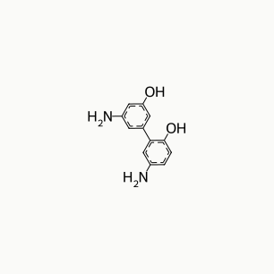 Nc1cc(O)cc(-c2cc(N)ccc2O)c1